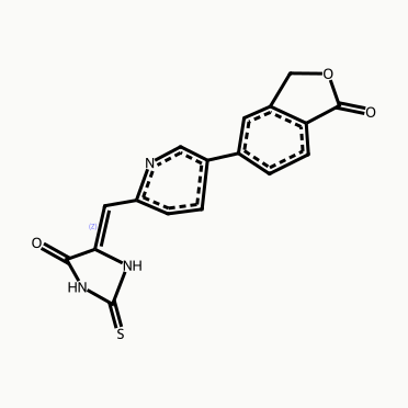 O=C1NC(=S)N/C1=C\c1ccc(-c2ccc3c(c2)COC3=O)cn1